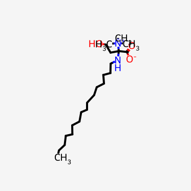 CCCCCCCCCCCCCCCCNC(CCO)(C(=O)[O-])[N+](C)(C)C